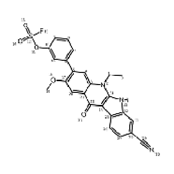 CCn1c2cc(-c3cccc(OS(=O)(=O)F)c3)c(OC)cc2c(=O)c2c3ccc(C#N)cc3[nH]c21